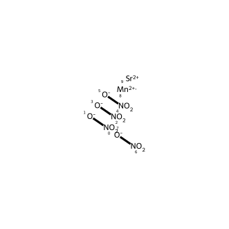 O=[N+]([O-])[O-].O=[N+]([O-])[O-].O=[N+]([O-])[O-].O=[N+]([O-])[O-].[Mn+2].[Sr+2]